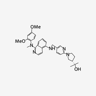 COc1ccc(N(C)c2nccc3c(NCc4ccc(N5CC[C@H](C(C)(C)O)C5)nc4)cccc23)c(OC)c1